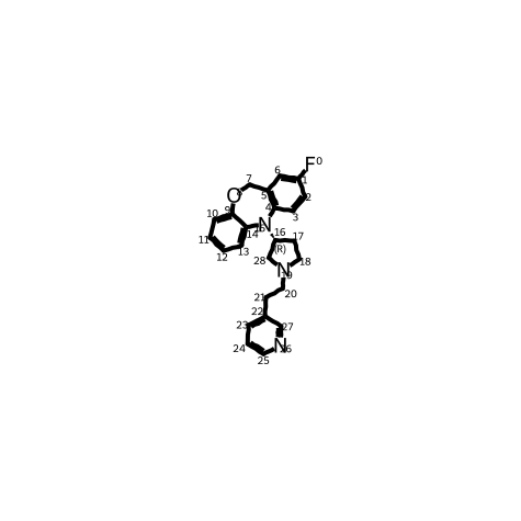 Fc1ccc2c(c1)COc1ccccc1N2[C@@H]1CCN(CCc2cccnc2)C1